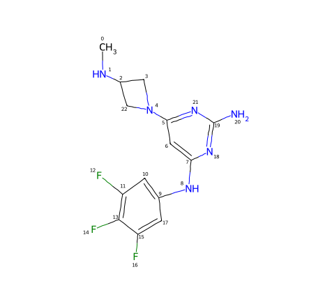 CNC1CN(c2cc(Nc3cc(F)c(F)c(F)c3)nc(N)n2)C1